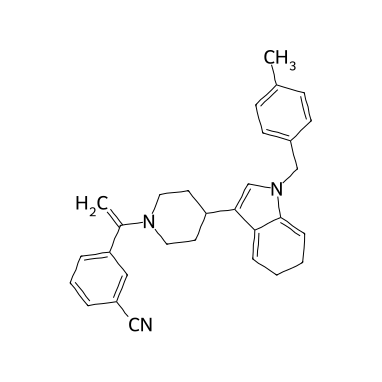 C=C(c1cccc(C#N)c1)N1CCC(c2cn(Cc3ccc(C)cc3)c3c2=CCCC=3)CC1